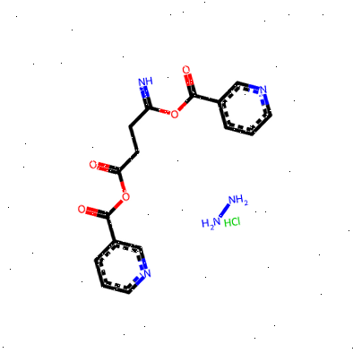 Cl.N=C(CCC(=O)OC(=O)c1cccnc1)OC(=O)c1cccnc1.NN